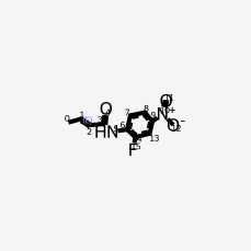 C/C=C/C(=O)Nc1ccc([N+](=O)[O-])cc1F